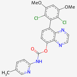 COc1cc(OC)c(Cl)c(-c2ccc(OC(=O)Nc3ccc(C)cn3)c3nccnc23)c1Cl